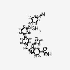 CN(Cc1ccc(C#N)cc1)c1cccc(N2CCN(Cc3nc4ccc(C(=O)O)cc4n3C[C@@H]3CCO3)CC2)n1